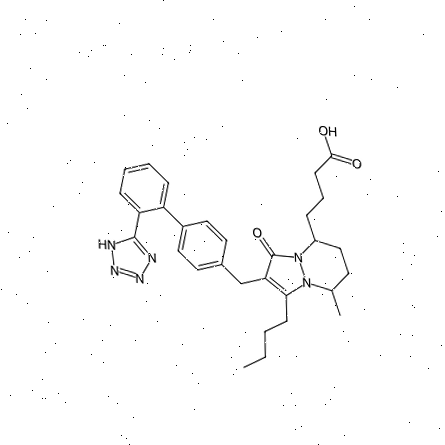 CCCCc1c(Cc2ccc(-c3ccccc3-c3nnn[nH]3)cc2)c(=O)n2n1C(C)CCC2CCCC(=O)O